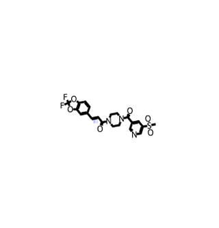 CS(=O)(=O)c1cncc(C(=O)N2CCN(C(=O)/C=C/c3ccc4c(c3)OC(F)(F)O4)CC2)c1